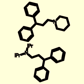 CC(C)N(CCC(c1ccccc1)c1ccccc1)C(C)C.c1ccc(C(CCN2CCCCC2)c2ccccc2)cc1